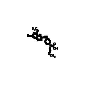 CCc1cc(Br)cc2cnc(N[C@H]3CC[C@H](N(CCOC)C(=O)O)CC3)nc12